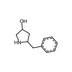 OC1CNC(Cc2ccccc2)C1